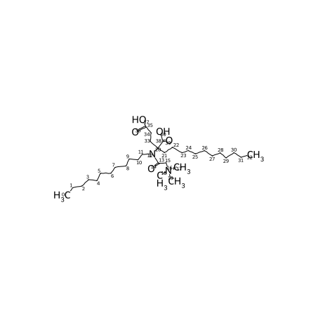 CCCCCCCCCCCCN(C(=O)C[N+](C)(C)C)C(CCCCCCCCCCCC)(CCC(=O)O)C(=O)O